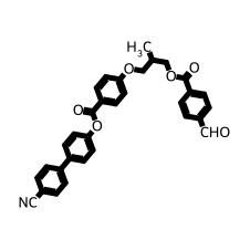 CC(COC(=O)c1ccc(C=O)cc1)COc1ccc(C(=O)Oc2ccc(-c3ccc(C#N)cc3)cc2)cc1